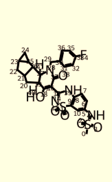 CS(=O)(=O)Nc1ccc2c(c1)S(=O)(=O)N=C(C1=C(O)[C@@H]3CC4CC5CC5C4[C@@H]3N(Cc3ccc(F)cc3)C1=O)N2